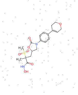 CC(CC1CN(c2ccc(C3=CCOCC3)cc2)C(=O)O1)(C(=O)NO)S(C)(=O)=O